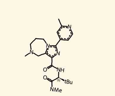 CNC(=O)[C@@H](NC(=O)c1nc(-c2ccnc(C)c2)n2c1CN(C)CCC2)C(C)(C)C